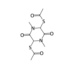 CC(=O)SC1C(=O)N(C)C(SC(C)=O)C(=O)N1C